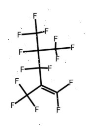 FC(F)=C(C(F)(F)F)C(F)(F)C(F)(C(F)(F)F)C(F)(F)F